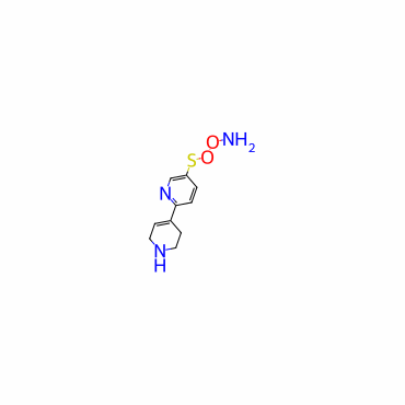 NOOSc1ccc(C2=CCNCC2)nc1